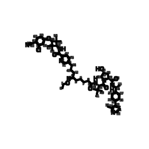 CCO/N=C(\CCCCC(=O)N[C@H](C(=O)N1C[C@H](O)C[C@H]1C(=O)N[C@@H](C)c1ccc(-c2scnc2C)cc1)C(C)(C)C)CCCc1ccc(C(=O)NC2C(C)(C)C(Oc3ccc(C#N)c(Cl)c3)C2(C)C)nc1